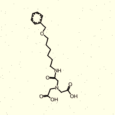 O=C(O)CN(CC(=O)O)CC(=O)NCCCCCCOCc1ccccc1